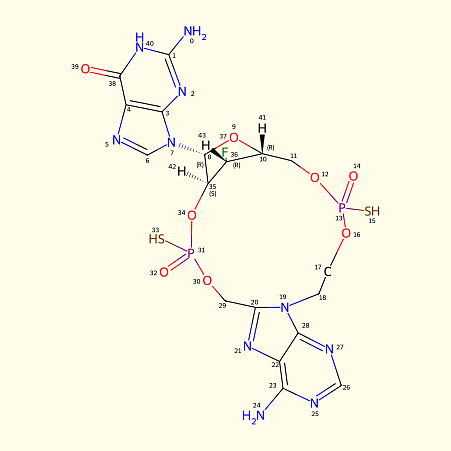 Nc1nc2c(ncn2[C@@H]2O[C@@H]3COP(=O)(S)OCCn4c(nc5c(N)ncnc54)COP(=O)(S)O[C@@H]2[C@@H]3F)c(=O)[nH]1